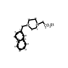 CCOC(=O)CN1CCN(Cc2ccc3ccccc3c2)CC1